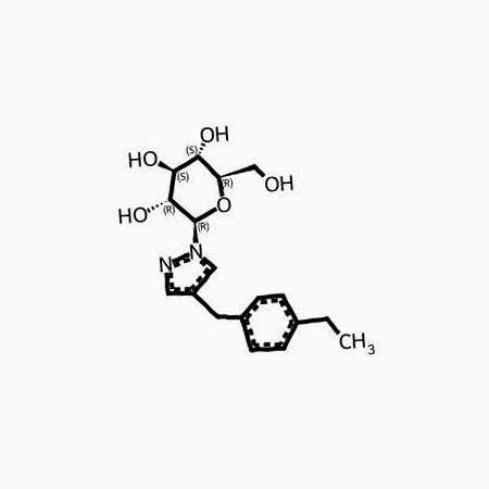 CCc1ccc(Cc2cnn([C@@H]3O[C@H](CO)[C@@H](O)[C@H](O)[C@H]3O)c2)cc1